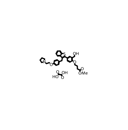 COC(=O)CCCOc1ccc(-c2sc3ccccc3c2Cc2ccc(OCCN3CCCC3)cc2)cc1CO.O=C(O)C(=O)O